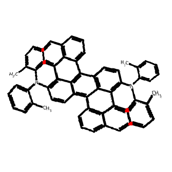 Cc1ccccc1N(c1ccccc1C)c1ccc2c3c4cccc5cccc(c6c(N(c7ccccc7C)c7ccccc7C)ccc(c7c8cccc9cccc(c1c27)c98)c63)c54